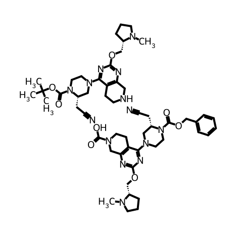 CN1CCC[C@H]1COc1nc2c(c(N3CCN(C(=O)OC(C)(C)C)[C@@H](CC#N)C3)n1)CCNC2.CN1CCC[C@H]1COc1nc2c(c(N3CCN(C(=O)OCc4ccccc4)[C@@H](CC#N)C3)n1)CCN(C(=O)O)C2